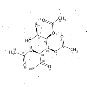 CC(=O)O[C@H]([C@H](OC(C)=O)[C@H](C)O)[C@H](OC(C)=O)C(=O)F